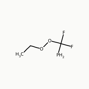 CCOOC(F)(F)P